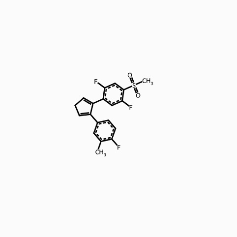 Cc1cc(C2=CCC=C2c2cc(F)c(S(C)(=O)=O)cc2F)ccc1F